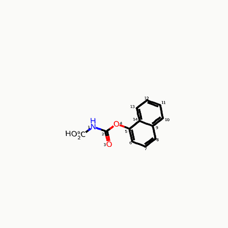 O=C(O)NC(=O)Oc1cccc2ccccc12